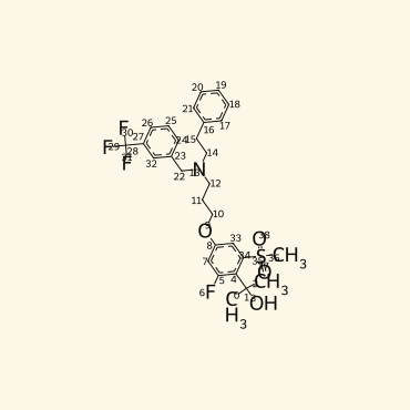 CC(C)(O)c1c(F)cc(OCCCN(CCc2ccccc2)Cc2cccc(C(F)(F)F)c2)cc1S(C)(=O)=O